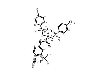 Cc1ccc(S(=O)(=O)N[C@@](C)(CS(=O)(=O)c2ccc(F)cc2)C(=O)Nc2ccc(C#N)c(C(F)(F)F)c2)cc1